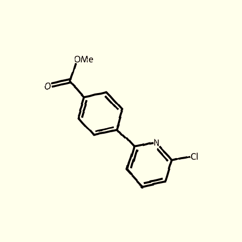 COC(=O)c1ccc(-c2cccc(Cl)n2)cc1